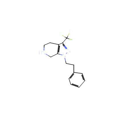 FC(F)(F)c1nn(CCc2ccccc2)c2c1CCNC2